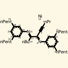 CCCC#CC(=N\c1cc(CCCCC)cc(CCCCC)c1)/C(CCCC)=N/c1cc(CCCCC)cc(CCCCC)c1.[Ni]